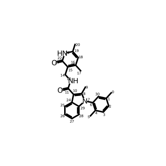 Cc1ccc(C)c(-n2c(C)c(C(=O)NCc3c(C)cc(C)[nH]c3=O)c3ccccc32)c1